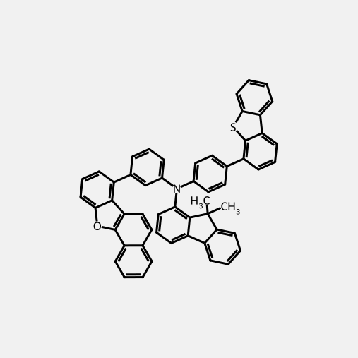 CC1(C)c2ccccc2-c2cccc(N(c3ccc(-c4cccc5c4sc4ccccc45)cc3)c3cccc(-c4cccc5oc6c7ccccc7ccc6c45)c3)c21